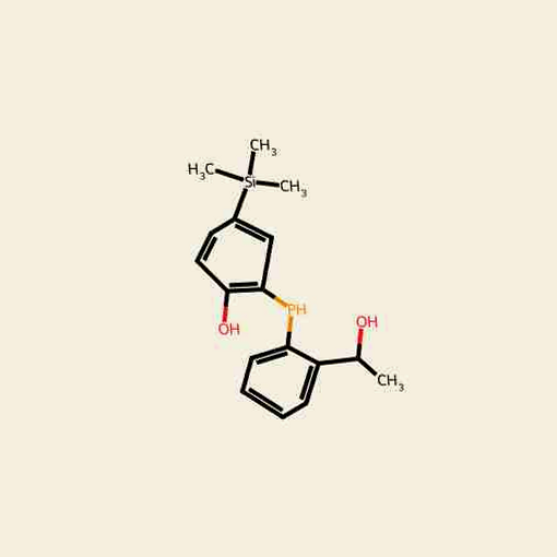 CC(O)c1ccccc1Pc1cc([Si](C)(C)C)ccc1O